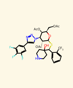 CC(=O)OC[C@H]1O[C@@H](S[C@@H](c2ccccc2C(F)(F)F)C2(O)CCNCC2)[C@H](OC(C)=O)[C@@H](n2cc(-c3cc(F)c(F)c(F)c3)nn2)[C@H]1OC(C)=O